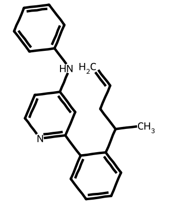 C=CCC(C)c1ccccc1-c1cc(Nc2ccccc2)ccn1